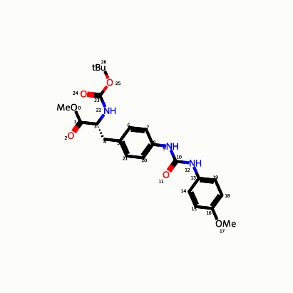 COC(=O)[C@@H](Cc1ccc(NC(=O)Nc2ccc(OC)cc2)cc1)NC(=O)OC(C)(C)C